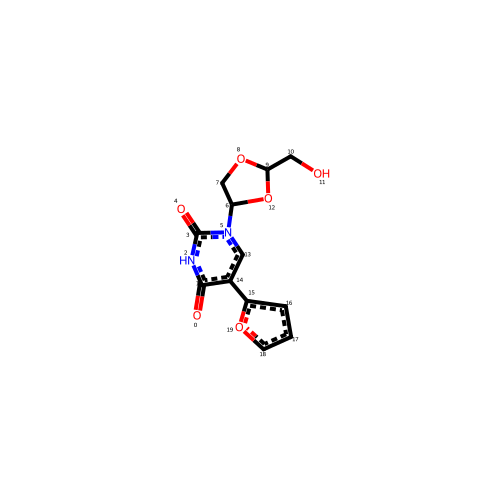 O=c1[nH]c(=O)n(C2COC(CO)O2)cc1-c1ccco1